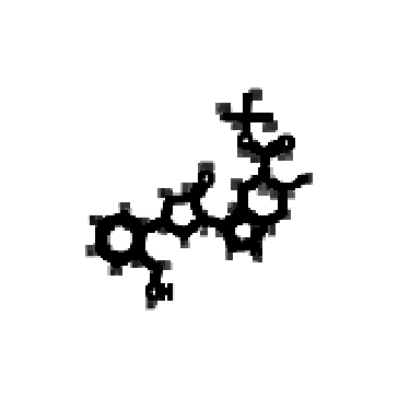 C[C@H]1Cn2ncc(N3CC(c4ccccc4CO)CC3=O)c2CN1C(=O)OC(C)(C)C